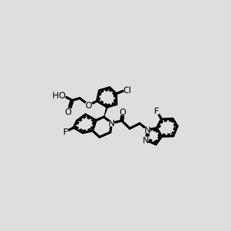 O=C(O)COc1ccc(Cl)cc1[C@@H]1c2ccc(F)cc2CCN1C(=O)CCn1ncc2cccc(F)c21